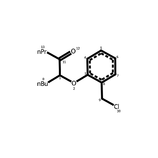 CCCCC(Oc1ccccc1CCl)C(=O)CCC